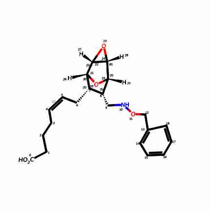 O=C(O)CCC/C=C\C[C@H]1[C@@H](CNOCc2ccccc2)[C@@H]2O[C@H]1[C@@H]1O[C@@H]12